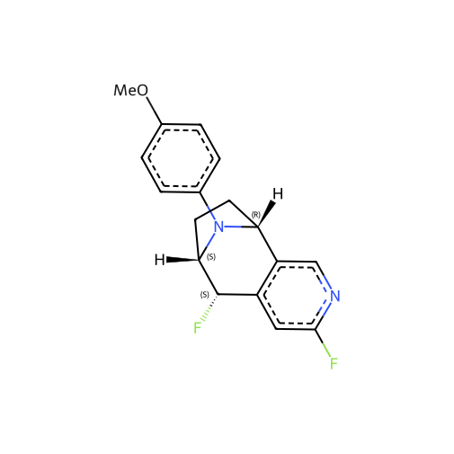 COc1ccc(N2[C@@H]3CC[C@H]2[C@@H](F)c2cc(F)ncc23)cc1